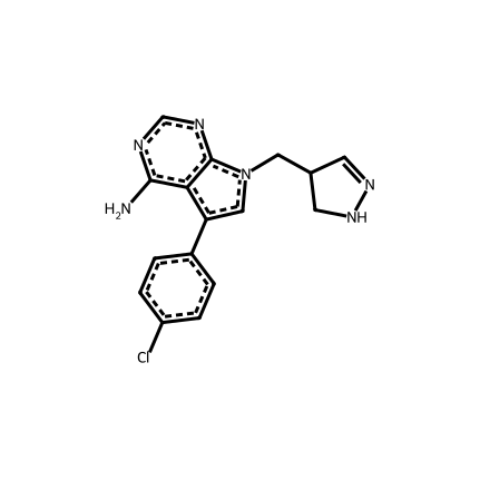 Nc1ncnc2c1c(-c1ccc(Cl)cc1)cn2CC1C=NNC1